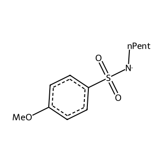 CCCCC[N]S(=O)(=O)c1ccc(OC)cc1